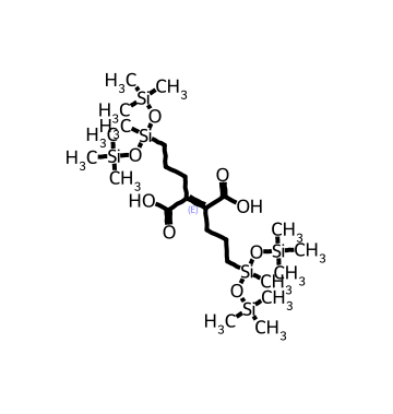 C[Si](C)(C)O[Si](C)(CCC/C(C(=O)O)=C(/CCC[Si](C)(O[Si](C)(C)C)O[Si](C)(C)C)C(=O)O)O[Si](C)(C)C